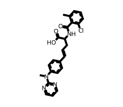 Cc1cccc(Cl)c1C(=O)NC(CC=Cc1ccc(N(C)c2ncccn2)cc1)C(=O)O